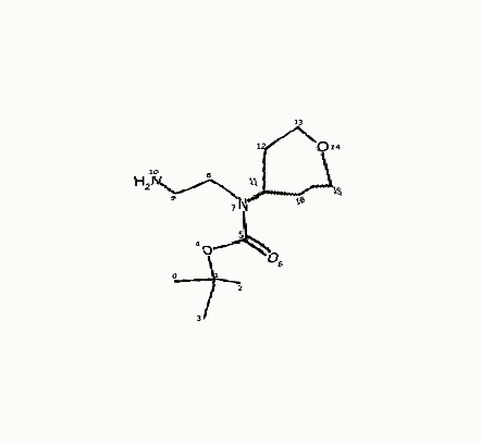 CC(C)(C)OC(=O)N(CCN)C1CCOCC1